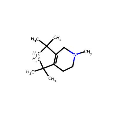 CN1CCC(C(C)(C)C)=C(C(C)(C)C)C1